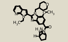 CCn1c(-c2nc3cc(C(=O)N4C[C@H]5CCC4C5N)cc(OC)c3n2CC2CCOCC2)cc2cccnc21